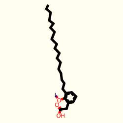 CCCCCCCCCCCCCCCCCCc1cccc(CC(=O)O)c1OI